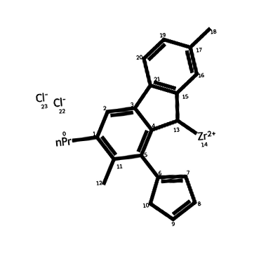 CCCc1cc2c(c(C3=CC=CC3)c1C)[CH]([Zr+2])c1cc(C)ccc1-2.[Cl-].[Cl-]